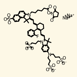 CC1(C)C(/C=C/C2=C(c3ccccc3F)C(=C/C=C3/N(CCCCCC(=O)ON4C(=O)CCC4=O)c4ccc5cc(S(=O)(=O)[O-])ccc5c4C3(C)C)/CCC2)=[N+](CCCS(=O)(=O)[O-])c2ccc(N(CCCS(=O)(=O)[O-])CCCS(=O)(=O)[O-])cc21.[Na+].[Na+].[Na+]